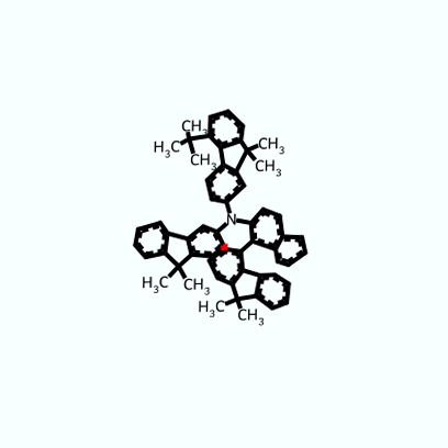 CC(C)(C)c1cccc2c1-c1ccc(N(c3ccc4c(c3)-c3ccccc3C4(C)C)c3ccc4ccccc4c3-c3cccc4c3-c3ccccc3C4(C)C)cc1C2(C)C